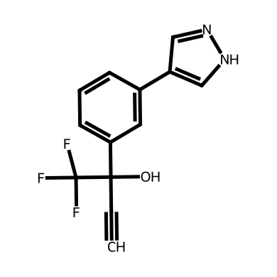 C#CC(O)(c1cccc(-c2cn[nH]c2)c1)C(F)(F)F